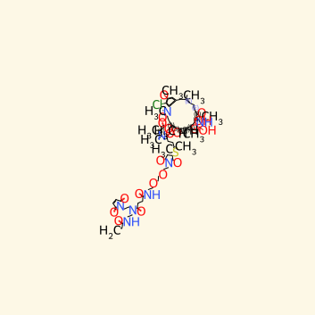 C=CC(=O)NCCN(CCN1C(=O)C=CC1=O)C(=O)CCC(=O)NCCOCCOCCN1C(=O)CC(SC(C)(C)CCC(=O)N(C)[C@@H](C)C(=O)O[C@H]2CC(=O)N(C)c3cc(cc(OC)c3Cl)C/C(C)=C/C=C/[C@@H](OC)[C@@]3(O)C[C@H](OC(O)N3)[C@@H](C)[C@@H]3O[C@@]23C)C1=O